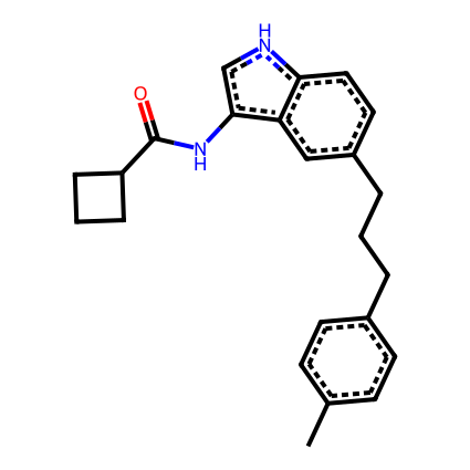 Cc1ccc(CCCc2ccc3[nH]cc(NC(=O)C4CCC4)c3c2)cc1